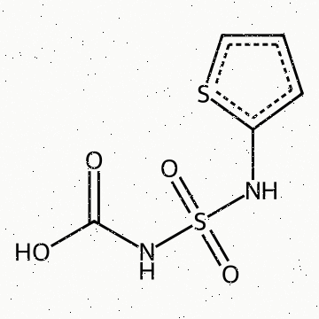 O=C(O)NS(=O)(=O)Nc1cccs1